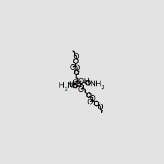 C=CCOC1CCC(C(=O)Oc2ccc(C=CC(=O)CC(Cc3ccc(N)cc3)(Cc3ccc(N)cc3)C(O)(O)C(=O)C=Cc3ccc(OC(=O)C4CCC(OCC=C)CC4)cc3)cc2)CC1